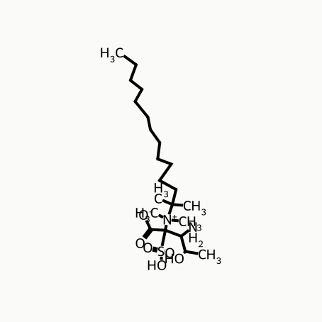 CCCCCCCCCCCCC(C)(C)[N+](C)(C)C(C(=O)[O-])(C(N)C(C)O)S(=O)(=O)O